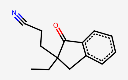 CCC1(CCC#N)Cc2ccccc2C1=O